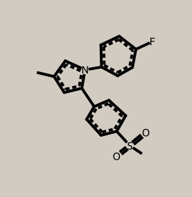 Cc1cc(-c2ccc(S(C)(=O)=O)cc2)n(-c2ccc(F)cc2)c1